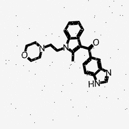 Cc1c(C(=O)c2ccc3[nH]cnc3c2)c2ccccc2n1CCN1CCOCC1